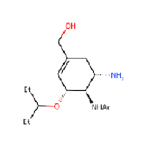 CCC(CC)O[C@@H]1C=C(CO)C[C@H](N)[C@H]1NC(C)=O